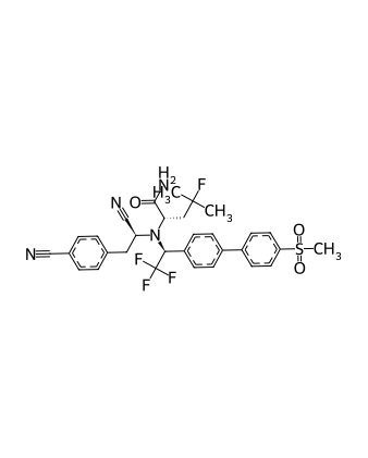 CC(C)(F)C[C@@H](C(N)=O)N([C@H](C#N)Cc1ccc(C#N)cc1)[C@@H](c1ccc(-c2ccc(S(C)(=O)=O)cc2)cc1)C(F)(F)F